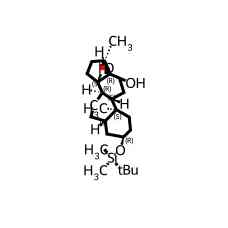 C[C@H]1OC(O)[C@]23CC[C@H]4[C@@H](CC[C@H]5C[C@H](O[Si](C)(C)C(C)(C)C)CC[C@@]54C)[C@@H]2CC[C@H]13